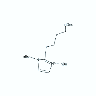 CCCCCCCCCCCCCCc1n(CCCC)cc[n+]1CCCC